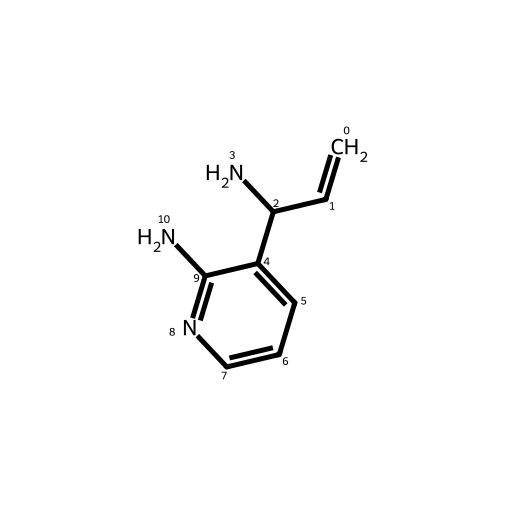 C=CC(N)c1cccnc1N